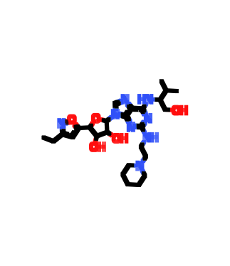 CCc1cc(C2OC(n3cnc4c(NC(CO)C(C)C)nc(NCCN5CCCCC5)nc43)C(O)C2O)on1